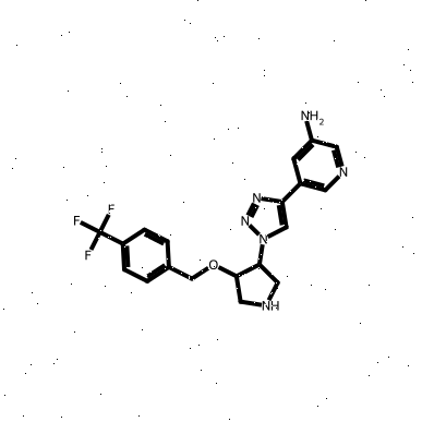 Nc1cncc(-c2cn(C3CNCC3OCc3ccc(C(F)(F)F)cc3)nn2)c1